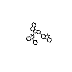 CC1(C)c2ccccc2-c2ccc(-c3ccc4c5c6ccccc6ccc5n(-c5nc(-c6ccccc6)c6ccccc6n5)c4c3)cc21